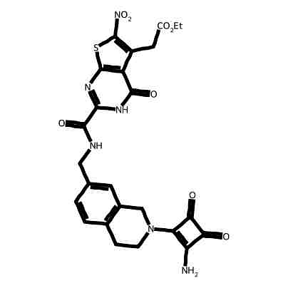 CCOC(=O)Cc1c([N+](=O)[O-])sc2nc(C(=O)NCc3ccc4c(c3)CN(c3c(N)c(=O)c3=O)CC4)[nH]c(=O)c12